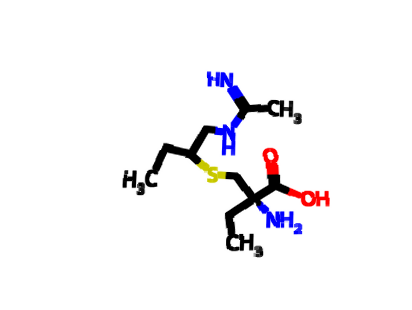 CCC(CNC(C)=N)SC[C@@](N)(CC)C(=O)O